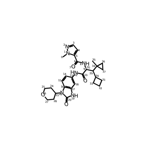 Cn1nccc1C(=O)N[C@H](C(=O)Nc1ccc2c(c1)[nH]c(=O)n2C1CCOCC1)C(C1CCC1)C1(C)CC1